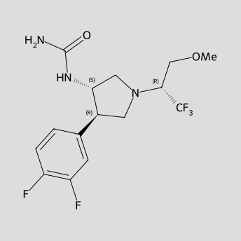 COC[C@@H](N1C[C@@H](NC(N)=O)[C@H](c2ccc(F)c(F)c2)C1)C(F)(F)F